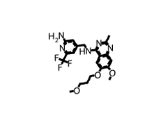 COCCCOc1cc2c(NCc3cc(N)nc(C(F)(F)F)c3)nc(C)nc2cc1OC